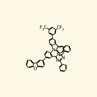 FC(F)(F)c1cc(-c2ccc3c(c2)c2ccccc2n3-c2ccc(-c3ccc4oc5ccccc5c4c3)cc2-c2nc(-c3ccccc3)nc(-c3ccccc3)n2)cc(C(F)(F)F)c1